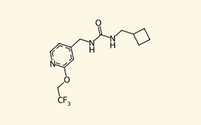 O=C(NCc1ccnc(OCC(F)(F)F)c1)NCC1CCC1